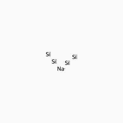 [Na].[Si].[Si].[Si].[Si]